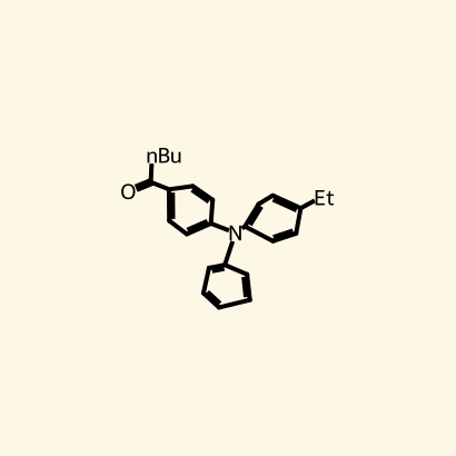 CCCCC(=O)c1ccc(N(c2ccccc2)c2ccc(CC)cc2)cc1